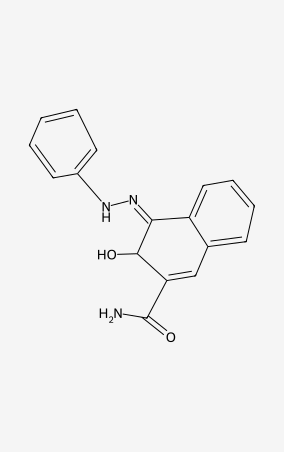 NC(=O)C1=Cc2ccccc2C(=NNc2ccccc2)C1O